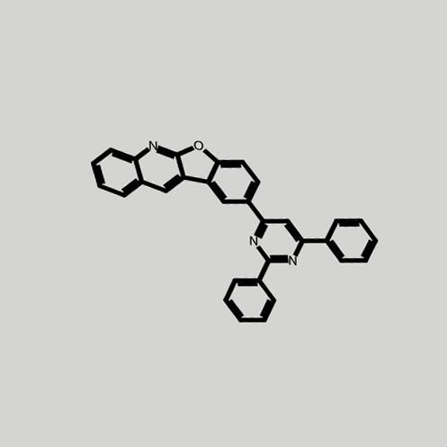 c1ccc(-c2cc(-c3ccc4oc5nc6ccccc6cc5c4c3)nc(-c3ccccc3)n2)cc1